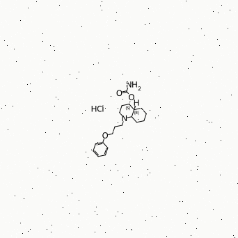 Cl.NC(=O)O[C@H]1CCN(CCCOc2ccccc2)C2CCCC[C@H]21